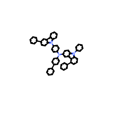 c1ccc(-c2ccc(N(c3ccc(-n4c5ccccc5c5cc(-c6ccccc6)ccc54)cc3)c3ccc4c(c3)c3c(-c5ccccc5)cccc3n4-c3ccccc3)cc2)cc1